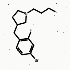 FCCCN1CCC(Cc2ccc(Br)cc2F)C1